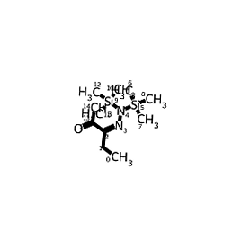 CCC(=NN([Si](C)(C)C)[Si](C)(C)C)C(C)=O